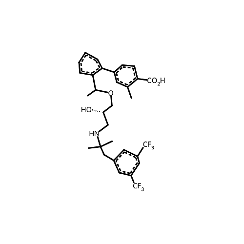 Cc1cc(-c2ccccc2C(C)OC[C@@H](O)CNC(C)(C)Cc2cc(C(F)(F)F)cc(C(F)(F)F)c2)ccc1C(=O)O